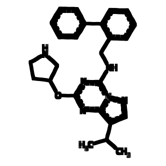 CC(C)c1cnn2c(NCc3ccccc3-c3ccccc3)nc(OC3CCNC3)nc12